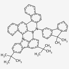 CC(C)(C)c1ccc2c(c1)c1cc(C(C)(C)C)cc3c1n2-c1c2c(cc4ccccc14)-c1c(ccc4ccccc14)N(c1ccc4c(c1)-c1ccccc1C4(C)C)B23